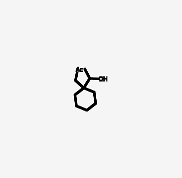 CC(=O)CC1(C(C)O)CCCCC1